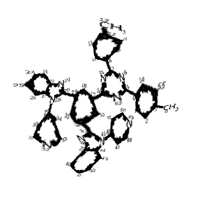 Cc1ccc(-c2nc(-c3ccc(C)cc3)nc(-c3cc(-c4nc5ccccc5n4-c4ccncc4)cc(-c4nc5ccccc5n4-c4ccncc4)c3)n2)cc1